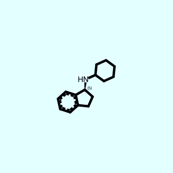 c1ccc2c(c1)CC[C@@H]2NC1CCCCC1